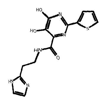 O=C(NCCc1ncc[nH]1)c1nc(-c2cccs2)nc(O)c1O